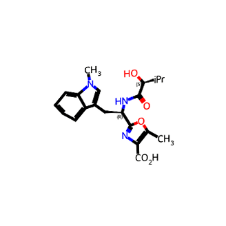 Cc1oc([C@@H](Cc2cn(C)c3ccccc23)NC(=O)[C@@H](O)C(C)C)nc1C(=O)O